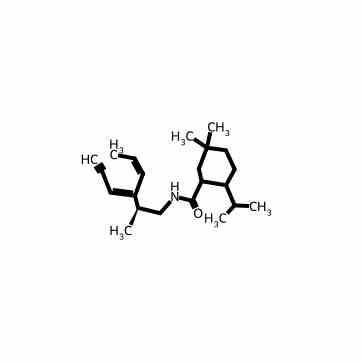 C#C/C=C(\C=C/C)[C@H](C)CNC(=O)C1CC(C)(C)CCC1C(C)C